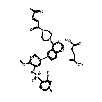 COc1ncc(-c2ccc3ncnc(N4CCN(C(=O)/C=C/C(C)=O)CC4)c3c2)cc1NS(=O)(=O)c1ccc(F)cc1F.O=C(O)CCC(=O)O